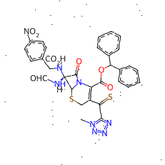 Cn1nnnc1C(=S)C1=C(C(=O)OC(c2ccccc2)c2ccccc2)N2C(=O)[C@@](NC=O)(N(Cc3ccc([N+](=O)[O-])cc3)C(=O)O)[C@@H]2SC1